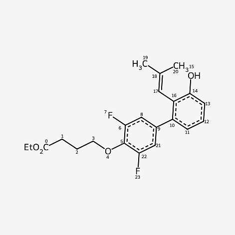 CCOC(=O)CCCOc1c(F)cc(-c2cccc(O)c2C=C(C)C)cc1F